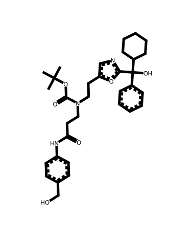 CC(C)(C)OC(=O)N(CCC(=O)Nc1ccc(CO)cc1)CCc1cnc(C(O)(c2ccccc2)C2CCCCC2)o1